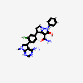 Cn1cc(-c2ccc(C3CCn4c3c(C(N)=O)c(=O)n4-c3ccccc3)cc2F)c2c(N)ncnc21